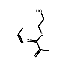 C=C(C)C(=O)OCCO.C=CC